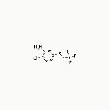 Nc1cc(SCC(F)(F)F)ccc1Cl